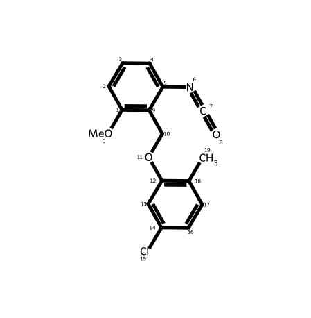 COc1cccc(N=C=O)c1COc1cc(Cl)ccc1C